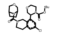 CC(C)(C)OC(=O)N1CCOCC1c1cc(Cl)cc2c1CN(C(=O)N1C3CCC1COC3)CC2